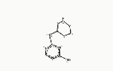 Oc1c[c]nc(NC2CCCNC2)n1